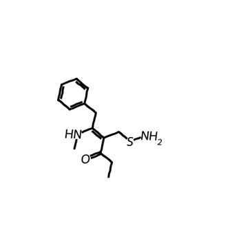 CCC(=O)C(CSN)=C(Cc1ccccc1)NC